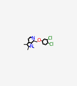 Cc1c(C)n(C)c2c(COc3ccc(Cl)c(Cl)c3)nccc12